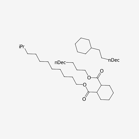 CCCCCCCCCCCCC1CCCCC1.CCCCCCCCCCCCCOC(=O)C1CCCCC1C(=O)OCCCCCCCCCC(C)C